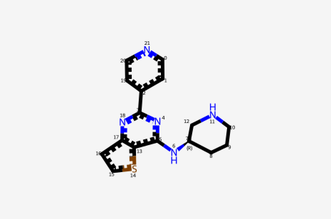 c1cc(-c2nc(N[C@@H]3CCCNC3)c3sccc3n2)ccn1